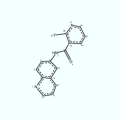 O=C(Nc1ccc2ncccc2c1)c1cccnc1F